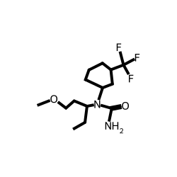 CCC(CCOC)N(C(N)=O)C1CCCC(C(F)(F)F)C1